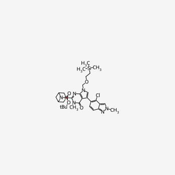 Cn1cc2c(Cl)c(-c3cn(COCC[Si](C)(C)C)c4nc(N5CC6CC(C5)N6C(=O)OC(C)(C)C)n(C)c(=O)c34)ccc2n1